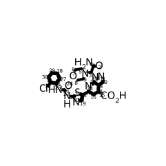 NC(=O)C(N1CCOCC1)n1ncc2c(C(=O)O)cc(-c3cnc(NC(=O)Nc4ccccc4Cl)s3)nc21